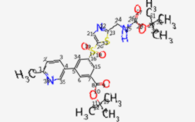 Cc1ccc(-c2cc(C(=O)OC(C)(C)C)cc(S(=O)(=O)c3cnc(CNC(=O)OC(C)(C)C)s3)c2)cn1